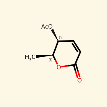 CC(=O)O[C@H]1C=CC(=O)O[C@H]1C